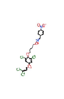 O=[N+]([O-])c1ccc(C=NOCCCCOc2c(Cl)cc(OCC=C(Cl)Cl)cc2Cl)cc1